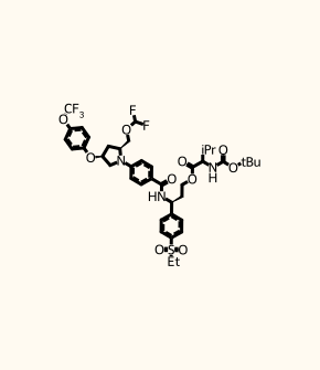 CCS(=O)(=O)c1ccc([C@H](CCOC(=O)C(NC(=O)OC(C)(C)C)C(C)C)NC(=O)c2ccc(N3C[C@@H](Oc4ccc(OC(F)(F)F)cc4)C[C@H]3COC(F)F)cc2)cc1